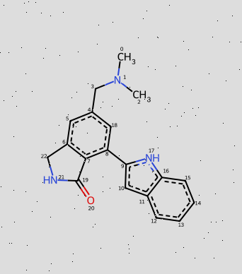 CN(C)Cc1cc2c(c(-c3cc4ccccc4[nH]3)c1)C(=O)NC2